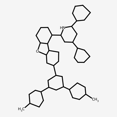 CC1CCC(C2CC(C3CCC(C)CC3)CC(C3CCC4C(C3)OC3CCCC(C5CC(C6CCCCC6)CC(C6CCCCC6)N5)C34)C2)CC1